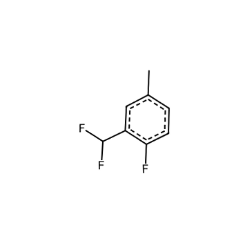 Cc1ccc(F)c(C(F)F)c1